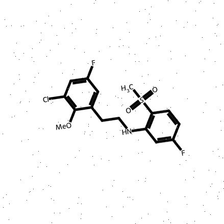 COc1c(Cl)cc(F)cc1CCNc1cc(F)ccc1S(C)(=O)=O